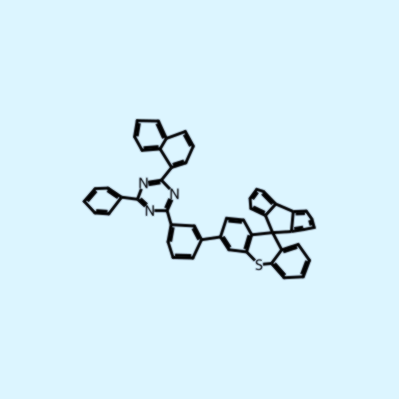 c1ccc(-c2nc(-c3cccc(-c4ccc5c(c4)Sc4ccccc4C54c5ccccc5-c5ccccc54)c3)nc(-c3cccc4ccccc34)n2)cc1